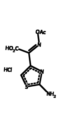 CC(=O)O/N=C(\C(=O)O)c1csc(N)n1.Cl